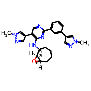 Cn1cc(-c2cccc(-c3ncc(-c4cnn(C)c4)c(N[C@H]4CCCC[C@H]5O[C@@H]45)n3)c2)cn1